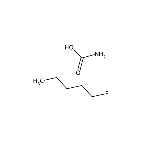 CCCCCF.NC(=O)O